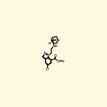 COC(=O)c1cc(Cl)cc2cnn(CCN[C@@H]3CN4CCC3CC4)c12